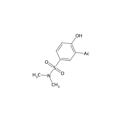 CC(=O)c1cc(S(=O)(=O)N(C)C)ccc1O